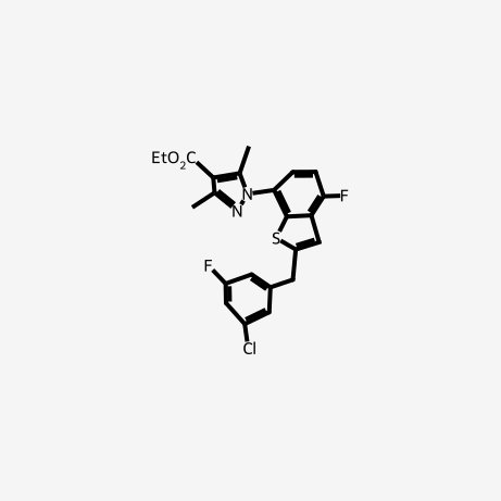 CCOC(=O)c1c(C)nn(-c2ccc(F)c3cc(Cc4cc(F)cc(Cl)c4)sc23)c1C